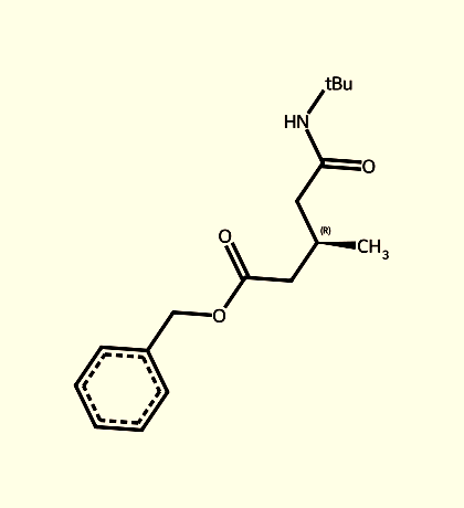 C[C@H](CC(=O)NC(C)(C)C)CC(=O)OCc1ccccc1